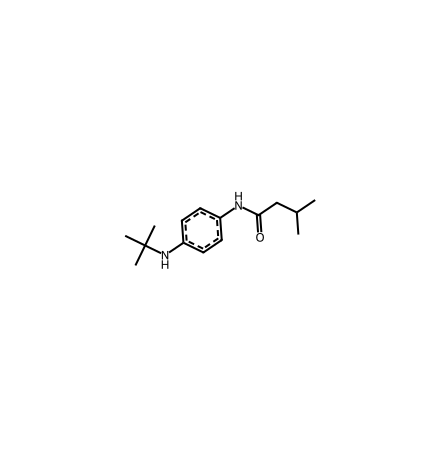 CC(C)CC(=O)Nc1ccc(NC(C)(C)C)cc1